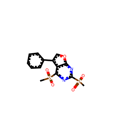 CS(=O)(=O)c1nc(S(C)(=O)=O)c2c(-c3ccccc3)coc2n1